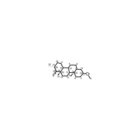 CO[C@H]1CC[C@@]2(C)C(CCC3C2CC[C@@]2(C)C3CC[C@@H](C)[C@@H]2F)C1